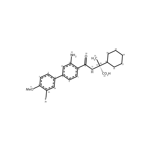 COc1ccc(-c2ccc(C(=O)N[C@](C)(C(=O)O)C3CCCCC3)c(N)c2)cc1F